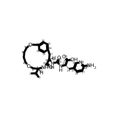 CC(C)[C@H]1COCCCCOc2ccc(cc2)C[C@@H](NC(=O)N[C@@H](Cc2ccc(N)nc2)C(=O)O)C(=O)N1